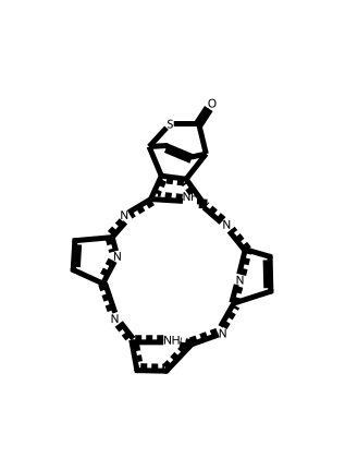 O=C1SC2C=CC1c1c2c2nc3nc(nc4ccc(nc5nc(nc1[nH]2)C=C5)[nH]4)C=C3